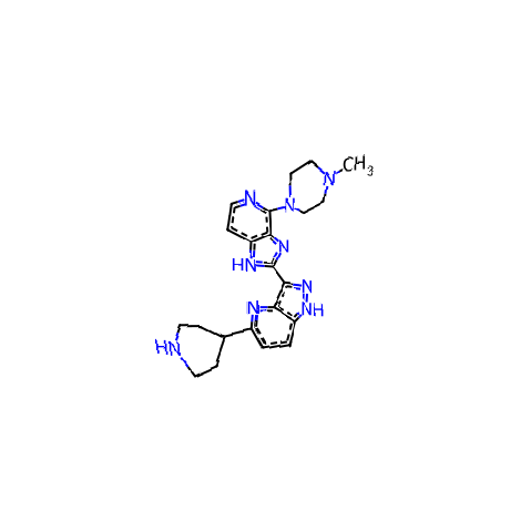 CN1CCN(c2nccc3[nH]c(-c4n[nH]c5ccc(C6CCNCC6)nc45)nc23)CC1